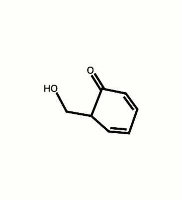 O=C1C=CC=CC1CO